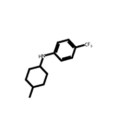 CC1CCC(Nc2ccc(C(F)(F)F)cc2)CC1